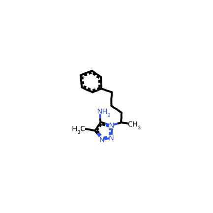 Cc1nnn(C(C)CCCc2ccccc2)c1N